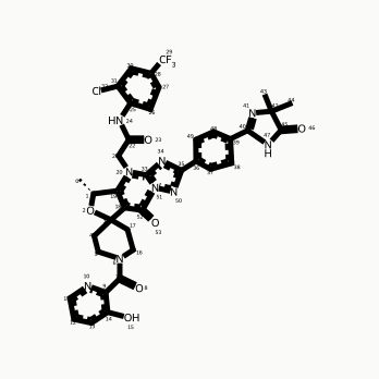 C[C@H]1OC2(CCN(C(=O)c3ncccc3O)CC2)c2c1n(CC(=O)Nc1ccc(C(F)(F)F)cc1Cl)c1nc(-c3ccc(C4=NC(C)(C)C(=O)N4)cc3)nn1c2=O